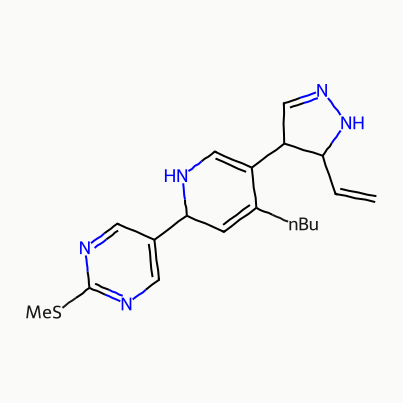 C=CC1NN=CC1C1=CNC(c2cnc(SC)nc2)C=C1CCCC